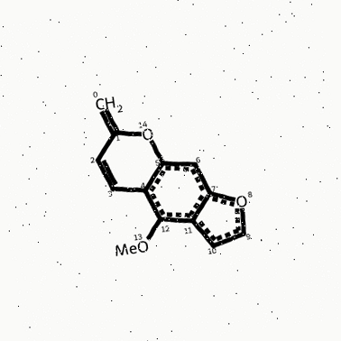 C=C1C=Cc2c(cc3occc3c2OC)O1